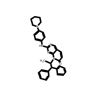 CC(C(c1ccccc1)c1ccccc1)n1c(=O)ccc2cnc(Nc3ccc(N4CCCCC4)cc3)nc21